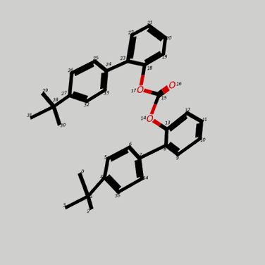 CC(C)(C)c1ccc(-c2ccccc2OC(=O)Oc2ccccc2-c2ccc(C(C)(C)C)cc2)cc1